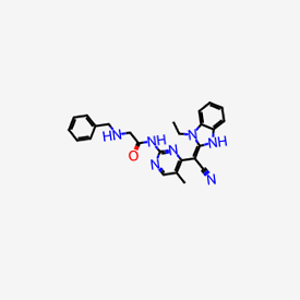 CCN1C(=C(C#N)c2nc(NC(=O)CNCc3ccccc3)ncc2C)Nc2ccccc21